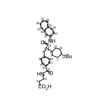 CC(C)(C)C1CCC(N(Cc2ccc(C(=O)NCCC(=O)O)cc2)C(=O)Nc2ccc3ccccc3c2)CC1